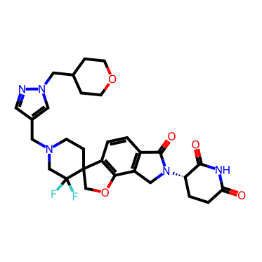 O=C1CC[C@H](N2Cc3c(ccc4c3OCC43CCN(Cc4cnn(CC5CCOCC5)c4)CC3(F)F)C2=O)C(=O)N1